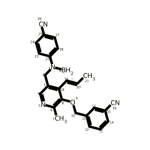 BN(Cc1cnc(C)c(OCc2cccc(C#N)c2)c1/C=C/C)c1ccc(C#N)cc1